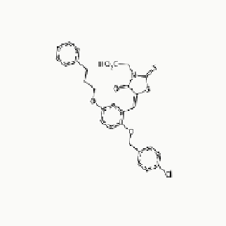 O=C(O)CN1C(=O)/C(=C\c2cc(OCCCc3ccccc3)ccc2OCc2ccc(Cl)cc2)SC1=S